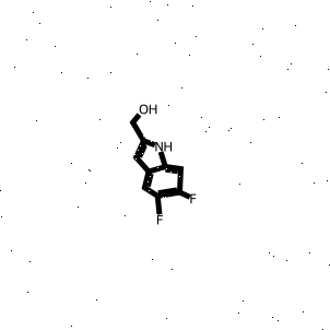 OCc1cc2cc(F)c(F)cc2[nH]1